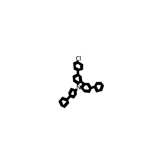 Clc1ccc(-c2ccc3c(c2)c2cc(-c4ccccc4)ccc2n3-c2ccc(-c3ccccc3)cc2)cc1